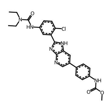 CCN(CC)C(=O)Nc1ccc(Cl)c(-c2nc3ncc(-c4ccc(NC(=O)OC)cc4)cc3[nH]2)c1